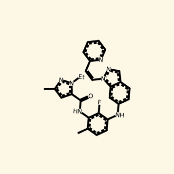 CCn1nc(C)cc1C(=O)Nc1c(C)ccc(Nc2ccc3cnn(C=Cc4ccccn4)c3c2)c1F